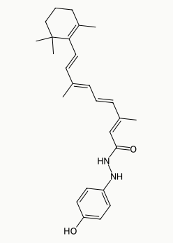 CC(C=CC1=C(C)CCCC1(C)C)=CC=CC(C)=CC(=O)NNc1ccc(O)cc1